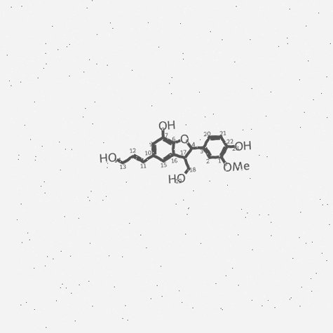 COc1cc(C2Oc3c(O)cc(C=CCO)cc3C2CO)ccc1O